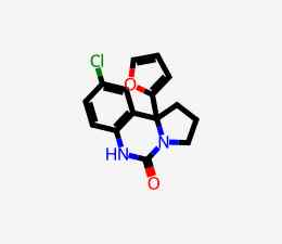 O=C1Nc2ccc(Cl)cc2C2(c3ccco3)CCCN12